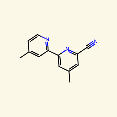 Cc1ccnc(-c2cc(C)cc(C#N)n2)c1